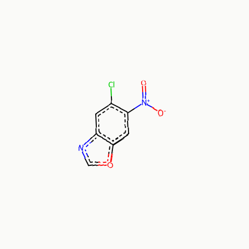 O=[N+]([O-])c1cc2ocnc2cc1Cl